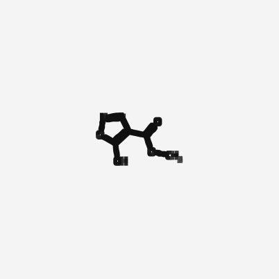 COC(=O)c1[c]noc1O